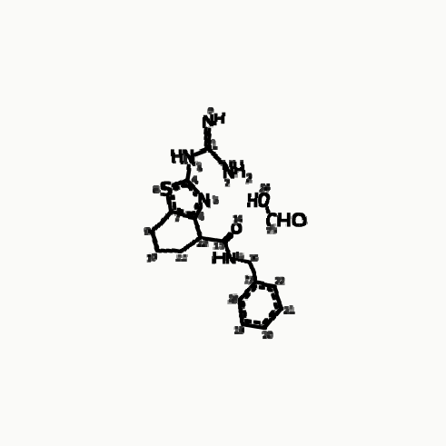 N=C(N)Nc1nc2c(s1)CCCC2C(=O)NCc1ccccc1.O=CO